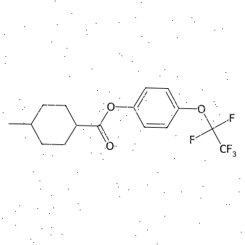 CC1CCC(C(=O)Oc2ccc(OC(F)(F)C(F)(F)F)cc2)CC1